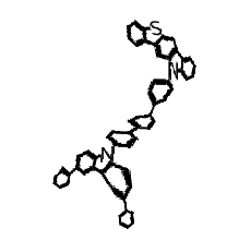 c1ccc(-c2ccc3c(c2)c2cc(-c4ccccc4)ccc2n3-c2ccc(-c3ccc(-c4ccc(-n5c6ccccc6c6cc7sc8ccccc8c7cc65)cc4)cc3)cc2)cc1